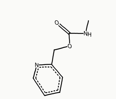 CNC(=O)OCc1ccccn1